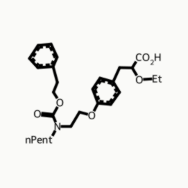 CCCCCN(CCOc1ccc(CC(OCC)C(=O)O)cc1)C(=O)OCCc1ccccc1